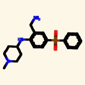 CN1CCC(Nc2ccc(S(=O)(=O)c3ccccc3)cc2CN)CC1